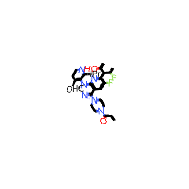 C=CC(=O)N1CCN(/C(=N/C)c2cc(F)c(C(C(=C)O)C(C)F)nc2N(C=O)c2c(C)ccnc2C(C)C)CC1